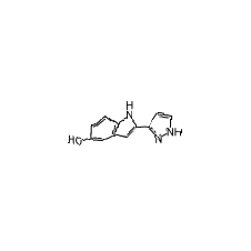 Oc1ccc2[nH]c(-c3cc[nH]n3)cc2c1